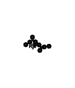 C[SiH]1c2cc(N(c3ccccc3)c3ccc(-c4ccccc4)cc3)ccc2-c2ccc(N(c3ccccc3)c3ccc(-c4ccccc4)cc3)cc21